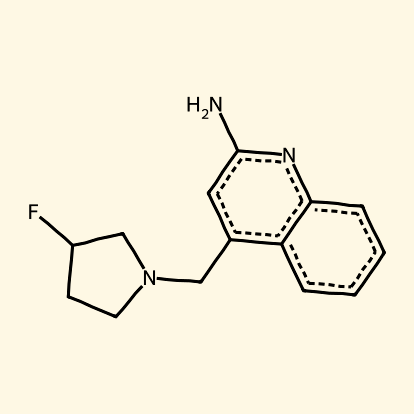 Nc1cc(CN2CCC(F)C2)c2ccccc2n1